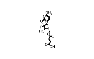 Nc1ccn([C@@H]2O[C@H](COC(=O)CCC(=O)O)C(O)C2(F)F)c(=O)n1